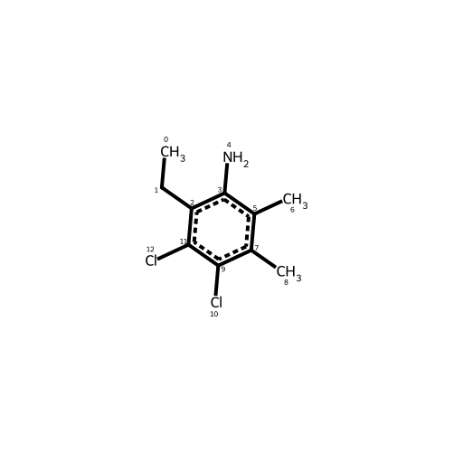 CCc1c(N)c(C)c(C)c(Cl)c1Cl